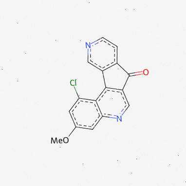 COc1cc(Cl)c2c3c(cnc2c1)C(=O)c1ccncc1-3